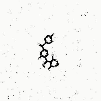 C/N=C(/c1ccc(C(=O)c2ccc(F)cc2)cc1F)c1c(C)ncnc1N